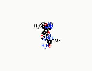 COc1cc(C(N)=O)cc(CCN2CCOCC2)c1Nc1nccc(Oc2cc([N+](C(=O)NC(C)C)(c3ccc(C)c(C)c3)c3ccn[nH]3)cc3ccccc23)n1